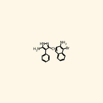 Cc1n[nH]c(N)c1-c1ccccc1.Nc1ccc2ccccc2c1Br